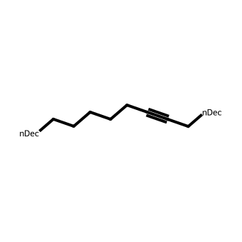 [CH2]CCCCCCCCCCC#CCCCCCCCCCCCCCC[CH2]